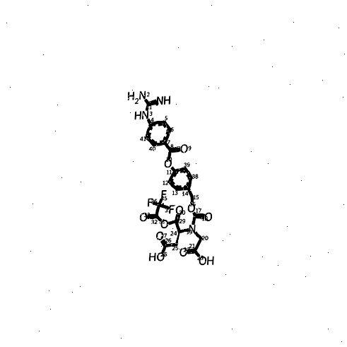 N=C(N)Nc1ccc(C(=O)Oc2ccc(COC(=O)N(CC(=O)O)[C@@H](CC(=O)O)C(=O)OC(=O)C(F)(F)F)cc2)cc1